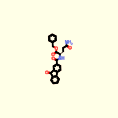 NC(=O)CC[C@H](NC(=O)c1ccc2c(c1)C(=O)c1ccccc1-2)C(=O)OCc1ccccc1